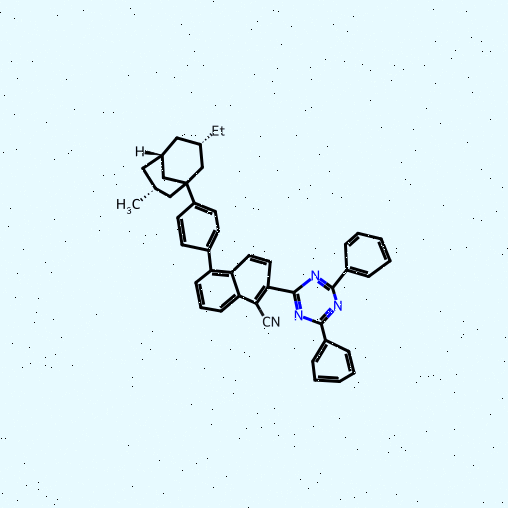 CC[C@H]1C[C@H]2C[C@@H](C)CC(c3ccc(-c4cccc5c(C#N)c(-c6nc(-c7ccccc7)nc(-c7ccccc7)n6)ccc45)cc3)(C2)C1